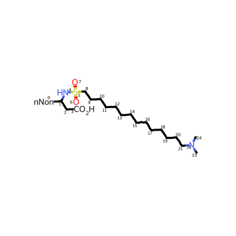 CCCCCCCCCC(CC(=O)O)NS(=O)(=O)CCCCCCCCCCCCCCN(C)C